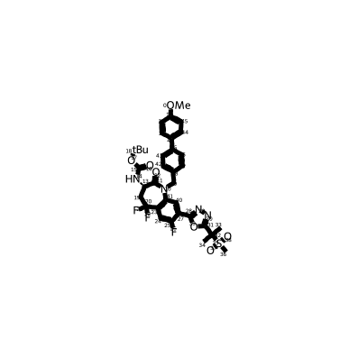 COc1ccc(-c2ccc(CN3C(=O)[C@@H](NC(=O)OC(C)(C)C)CC(F)(F)c4cc(F)c(-c5nnc(C(C)(C)S(C)(=O)=O)o5)cc43)cc2)cc1